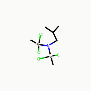 CC(C)CN([Si](C)(Cl)Cl)[Si](C)(Cl)Cl